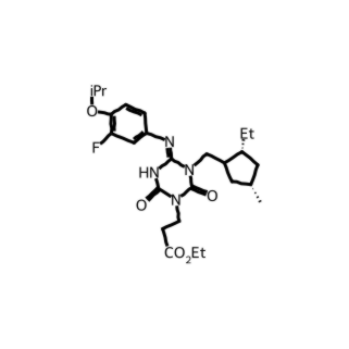 CCOC(=O)CCn1c(=O)[nH]/c(=N\c2ccc(OC(C)C)c(F)c2)n(CC2C[C@@H](C)C[C@H]2CC)c1=O